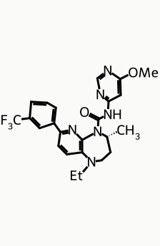 CCN1CC[C@@H](C)N(C(=O)Nc2cc(OC)ncn2)c2nc(-c3cccc(C(F)(F)F)c3)ccc21